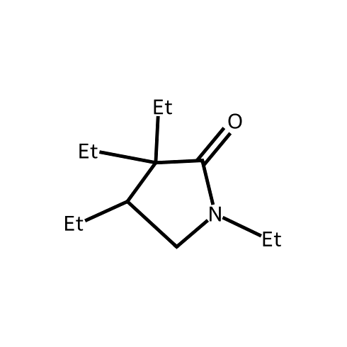 CCC1CN(CC)C(=O)C1(CC)CC